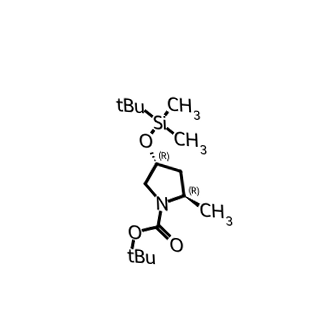 C[C@@H]1C[C@@H](O[Si](C)(C)C(C)(C)C)CN1C(=O)OC(C)(C)C